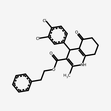 CC1=C(C(=O)OCCc2ccccc2)C(c2ccc(Cl)c(Cl)c2)C2=C(CCCC2=O)N1